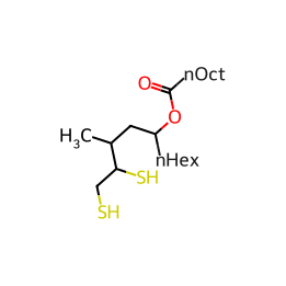 CCCCCCCCC(=O)OC(CCCCCC)CC(C)C(S)CS